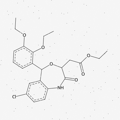 CCOC(=O)CC1OC(c2cccc(OCC)c2OCC)c2cc(Cl)ccc2NC1=O